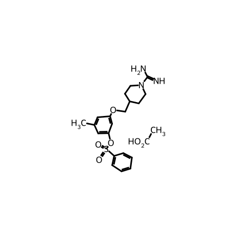 CC(=O)O.Cc1cc(OCC2CCN(C(=N)N)CC2)cc(OS(=O)(=O)c2ccccc2)c1